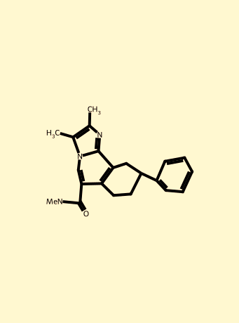 CNC(=O)c1cn2c(C)c(C)nc2c2c1CCC(c1ccccc1)C2